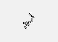 Fc1ccc(N(c2cccc(N(c3ccccc3)c3ccc4c(c3)sc3ccccc34)c2)c2ccc3c(c2)sc2ccc(-c4ccc(N(c5ccccc5)c5ccc(-c6ccccc6)cc5)cc4)cc23)cc1